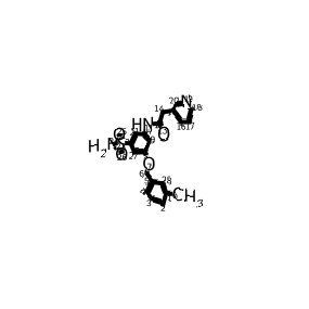 Cc1cccc(COc2cc(NC(=O)Cc3cccnc3)cc(S(N)(=O)=O)c2)c1